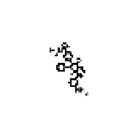 Nc1cccc(-c2nccc3c(=O)c(-c4ccc(C5(N)CCC5)cc4)c(-c4ccccc4)oc23)c1